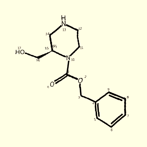 O=C(OCc1ccccc1)N1CCNC[C@@H]1CO